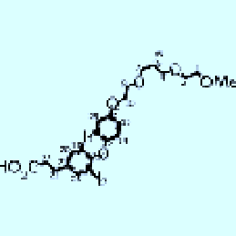 COCCOC[C@@H](C)COCCOc1ccc(Oc2c(I)cc(CCC(=O)O)cc2I)cc1